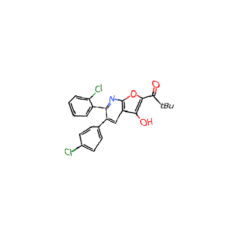 CC(C)(C)C(=O)c1oc2nc(-c3ccccc3Cl)c(-c3ccc(Cl)cc3)cc2c1O